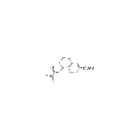 COc1ccc2c(c1)CCCC2CC(=O)N(C)C